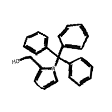 OCc1cccn1C(c1ccccc1)(c1ccccc1)c1ccccc1